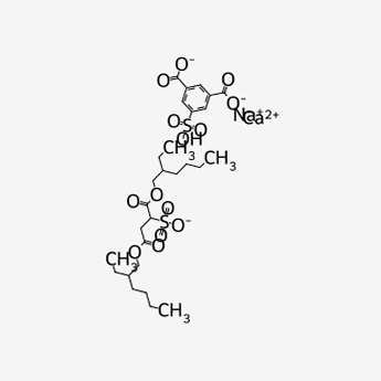 CCCCC(CC)COC(=O)CC(C(=O)OCC(CC)CCCC)S(=O)(=O)[O-].O=C([O-])c1cc(C(=O)[O-])cc(S(=O)(=O)O)c1.[Ca+2].[Na+]